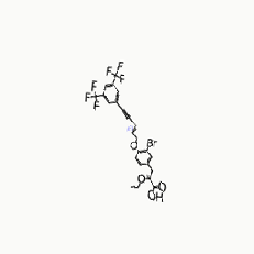 CCO[C@@H](Cc1ccc(OC/C=C/C#Cc2cc(C(F)(F)F)cc(C(F)(F)F)c2)c(Br)c1)C(=O)O